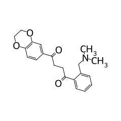 CN(C)Cc1ccccc1C(=O)CCC(=O)c1ccc2c(c1)OCCO2